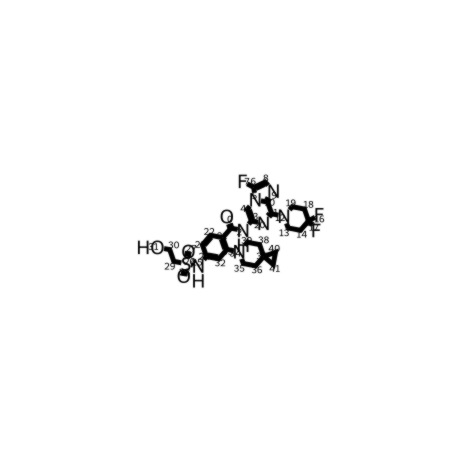 O=C(Nc1cn2c(F)cnc2c(N2CCC(F)(F)CC2)n1)c1ccc(NS(=O)(=O)CCO)cc1N1CCC2(CC1)CC2